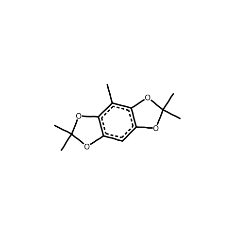 Cc1c2c(cc3c1OC(C)(C)O3)OC(C)(C)O2